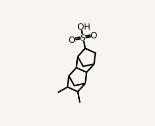 CC1C(C)C2CC1C1C3CC(C21)C(S(=O)(=O)O)C3